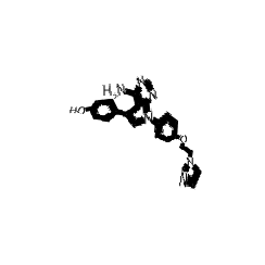 Nc1ncnc2c1c(-c1ccc(O)cc1)cn2-c1ccc(OCCn2ccnc2)cc1